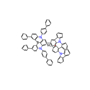 N#Cc1ccc(-n2c3ccccc3c3ccccc32)c(-c2ccccc2-n2c3ccccc3c3cc(-c4cc5c6c(c4)N(c4ccc(-c7ccccc7)cc4)c4ccc(-c7ccccc7)cc4B6c4cc(-c6ccccc6)ccc4N5c4ccc(-c5ccccc5)cc4)ccc32)c1